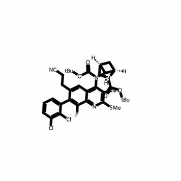 CSc1nc2c(F)c(-c3cccc(Cl)c3Cl)c(CCC#N)cc2c(N(C(=O)OC(C)(C)C)[C@H]2[C@@H]3C[C@H]2N(C(=O)OC(C)(C)C)C3)c1N